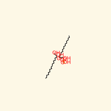 CCCCCCCCCCCCCCCC(OC(CCCCCCCCCCCCCCC)C(CO)OS(=O)(=O)O)C(O)CO